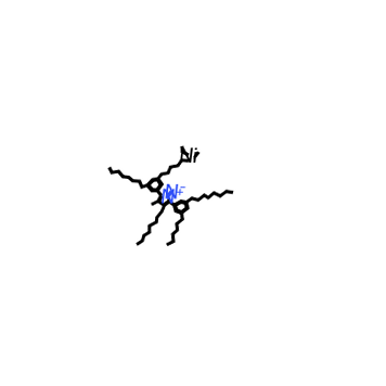 CCCCCCCCC1=C(c2cc(CCCCCC)cc(CCCCCCCC)c2)[N+](=[N-])C(c2cc(CCCCCC)cc(CCCCCCCC)c2)=C1C.C[CH2][Ni][CH2]C